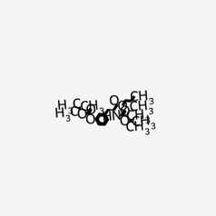 CC(C)COC(=O)[C@H](Cc1cccc(OC(=O)OC(C)(C)C)c1)NC(=O)OC(C)(C)C